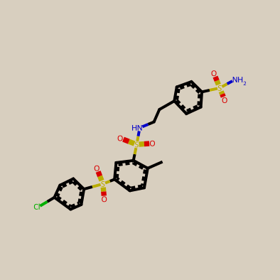 Cc1ccc(S(=O)(=O)c2ccc(Cl)cc2)cc1S(=O)(=O)NCCc1ccc(S(N)(=O)=O)cc1